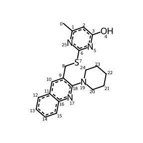 Cc1cc(O)nc(SCc2cc3ccccc3nc2N2CCCCC2)n1